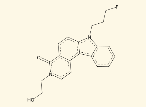 O=c1c2ccc3c(c2ccn1CCO)c1ccccc1n3CCCF